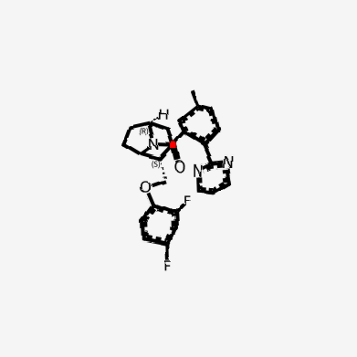 Cc1ccc(-c2ncccn2)c(C(=O)N2C3CC[C@H]2CC[C@@H]3COc2ccc(F)cc2F)c1